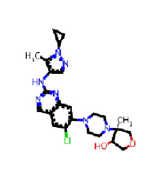 Cc1c(Nc2ncc3cc(Cl)c(N4CCN([C@@]5(C)COC[C@H]5O)CC4)cc3n2)cnn1C1CC1